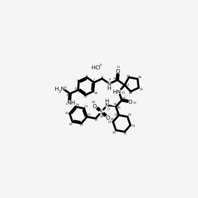 Cl.N=C(N)c1ccc(CNC(=O)C2(NC(=O)[C@H](NS(=O)(=O)Cc3ccccc3)C3CCCCC3)CCCC2)cc1